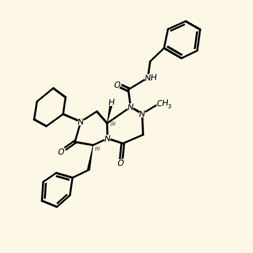 CN1CC(=O)N2[C@@H](Cc3ccccc3)C(=O)N(C3CCCCC3)C[C@@H]2N1C(=O)NCc1ccccc1